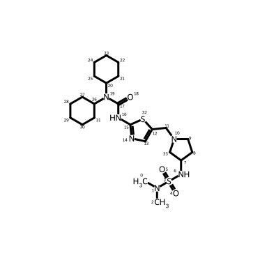 CN(C)S(=O)(=O)NC1CCN(Cc2cnc(NC(=O)N(C3CCCCC3)C3CCCCC3)s2)C1